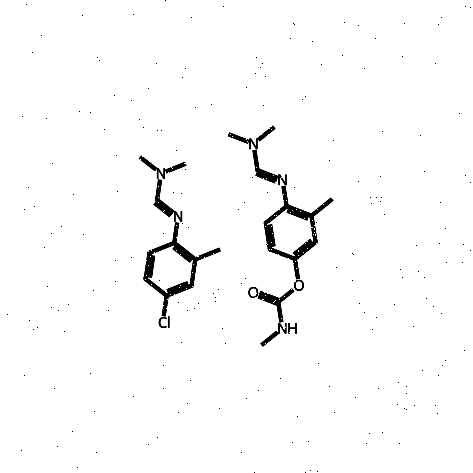 CNC(=O)Oc1ccc(N=CN(C)C)c(C)c1.Cc1cc(Cl)ccc1N=CN(C)C